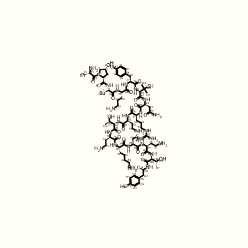 CC[C@H](C)[C@H](NC(=O)[C@@H]1C[C@@H](O)CN1C(=O)[C@@H](N)C(C)C)C(=O)N[C@@H](CCCN)C(=O)N[C@@H](Cc1ccc(O)cc1)C(=O)N[C@H](C(=O)N[C@@H](CC(N)=O)C(=O)N[C@@H](CCCNC(=N)N)C(=O)N[C@@H](CCN)C(=O)N[C@H](C(=O)N[C@H](CCN)C(=O)N[C@@H](CCCCN)C(=O)N[C@@H](CS)C(=O)N[C@@H](CCN)C(=O)N[C@H](C(=O)N[C@@H](Cc1ccc(O)cc1)C(=O)O)[C@@H](C)O)[C@@H](C)O)C(C)(C)S